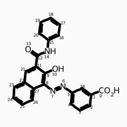 O=C(O)c1cccc(/N=N/c2c(O)c(C(=O)Nc3ccccc3)cc3ccccc23)c1